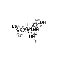 C=CCNC(=O)c1cnc(Nc2cc3c4c(c2)CN(CC)C[C@@]4(C)CCC3)nc1Nc1ccc2c(n1)[C@@](C)(O)CC2